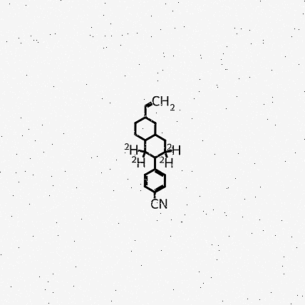 [2H]C1([2H])CC2CC(C=C)CCC2C([2H])([2H])C1c1ccc(C#N)cc1